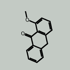 COc1cccc2c1C(=O)c1ccccc1C2